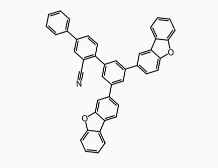 N#Cc1cc(-c2ccccc2)ccc1-c1cc(-c2ccc3c(c2)oc2ccccc23)cc(-c2ccc3oc4ccccc4c3c2)c1